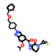 CC(C)Oc1cc2nn(C3CCC(COCc4ccccc4)CC3)cc2cc1C(=O)Nc1cccn(C2C[C@@H]2F)c1=O